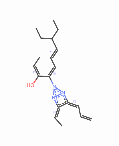 C=C/C=c1\c(=C/C)n2n(C(=C/C=C/C(CC)CC)/C(O)=C\C)n12